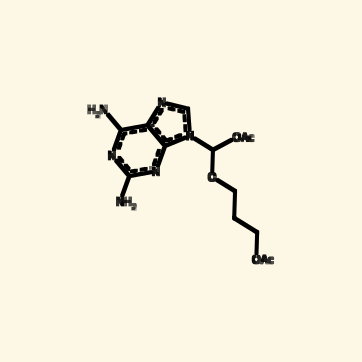 CC(=O)OCCCOC(OC(C)=O)n1cnc2c(N)nc(N)nc21